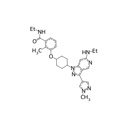 CCNC(=O)c1cccc(OC2CCC(n3nc(-c4cnn(C)c4)c4cnc(NCC)cc43)CC2)c1C